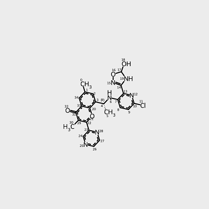 Cc1cc([C@@H](C)Nc2ccc(Cl)nc2C2=NOC(O)N2)c2oc(-c3cnccn3)c(C)c(=O)c2c1